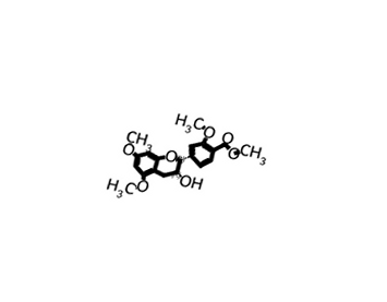 COC(=O)c1ccc([C@H]2Oc3cc(OC)cc(OC)c3C[C@H]2O)cc1OC